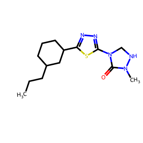 CCCC1CCCC(c2nnc(N3CNN(C)C3=O)s2)C1